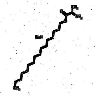 CCCCCCCCCCCCCCCCOC(=O)[C@H](C)N.[NaH]